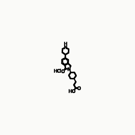 Cl.O=C(O)CC[C@H]1CC[C@H](N2Cc3cc(C4CCNCC4)ccc3C2=O)CC1